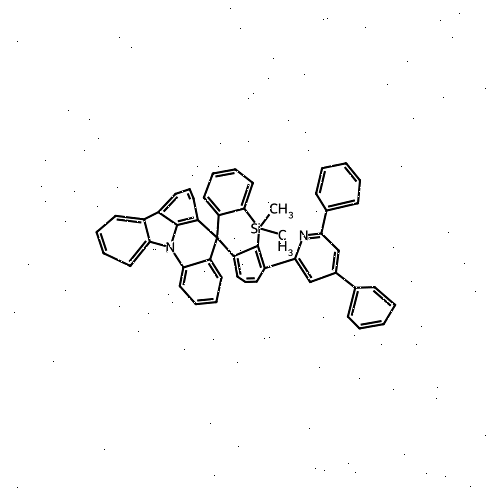 C[Si]1(C)c2ccccc2C2(c3ccccc3-n3c4ccccc4c4cccc2c43)c2cccc(-c3cc(-c4ccccc4)cc(-c4ccccc4)n3)c21